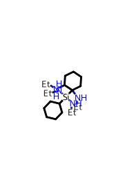 CCNC1CCCCC1(NCC)[Si](NCC)(NCC)C1CCCCC1